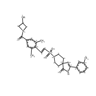 Cc1cc(C(=O)N2CC(O)C2)cc(C)c1/C=C/S(=O)(=O)N1CCC2(CC1)N=C(c1cccc(C(F)(F)F)c1)NC2=O